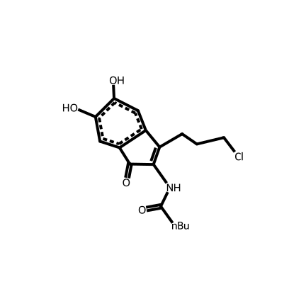 CCCCC(=O)NC1=C(CCCCl)c2cc(O)c(O)cc2C1=O